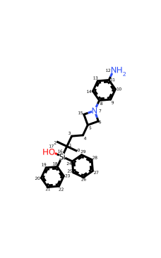 CC(C)(CCC1CN(c2ccc(N)cc2)C1)[Si](O)(c1ccccc1)c1ccccc1